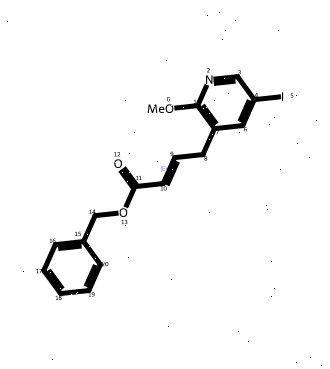 COc1ncc(I)cc1C/C=C/C(=O)OCc1ccccc1